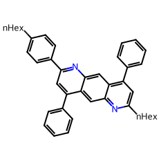 CCCCCCc1ccc(-c2cc(-c3ccccc3)c3cc4nc(CCCCCC)cc(-c5ccccc5)c4cc3n2)cc1